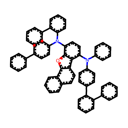 c1ccc(-c2ccc(N(c3ccccc3-c3ccccc3)c3ccc(N(c4ccccc4)c4ccc(-c5ccccc5-c5ccccc5)cc4)c4c3oc3c5ccccc5ccc34)cc2)cc1